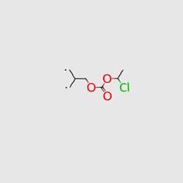 [CH2]C([CH2])COC(=O)OC(C)Cl